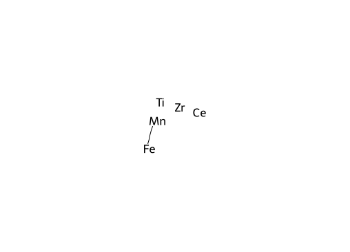 [Ce].[Mn][Fe].[Ti].[Zr]